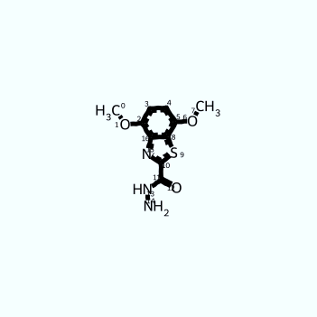 COc1ccc(OC)c2sc(C(=O)NN)nc12